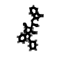 O=C(Cc1c[nH]c2ccccc12)C1=C(O)C(CCc2ccccc2)(c2ccccc2)OC1=O